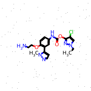 CCn1cc(Cl)c(OC(=O)Nc2ccc(OCCN)c(-c3ccnn3C)c2)n1